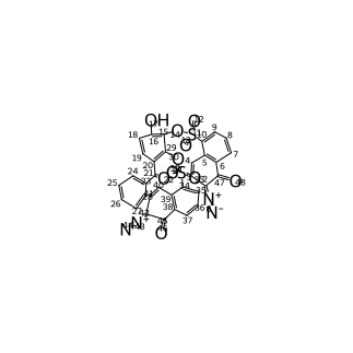 [N-]=[N+]=C1C=Cc2c(cccc2S(=O)(=O)Oc2c(O)ccc(C(=O)c3ccccc3)c2OS(=O)(=O)c2cccc3c2C=CC(=[N+]=[N-])C3=O)C1=O